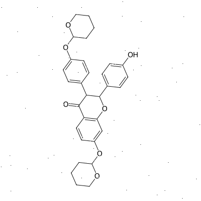 O=C1c2ccc(OC3CCCCO3)cc2OC(c2ccc(O)cc2)C1c1ccc(OC2CCCCO2)cc1